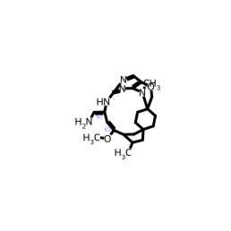 CO/C1=C/C(=C\N)Nc2ncc3c(n2)N(C)C2(CCC4(CC2)CC(C)C1C4)CO3